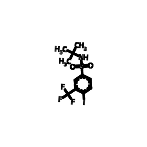 CC(C)(C)NS(=O)(=O)c1ccc(I)c(C(F)(F)F)c1